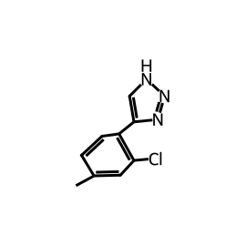 Cc1ccc(-c2c[nH]nn2)c(Cl)c1